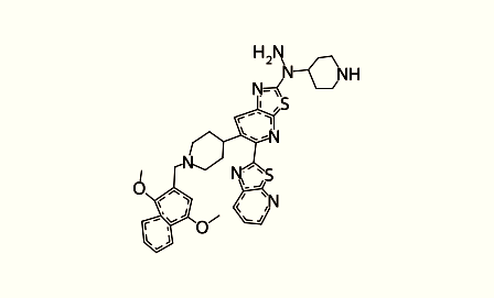 COc1cc(CN2CCC(c3cc4nc(N(N)C5CCNCC5)sc4nc3-c3nc4cccnc4s3)CC2)c(OC)c2ccccc12